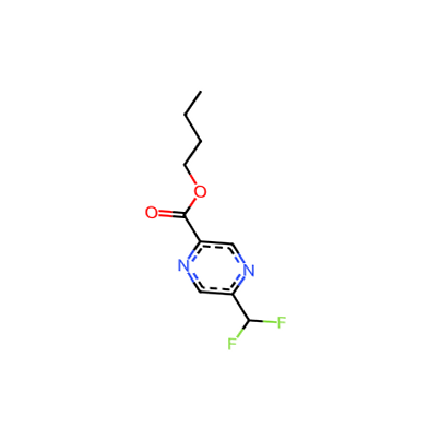 CCCCOC(=O)c1cnc(C(F)F)cn1